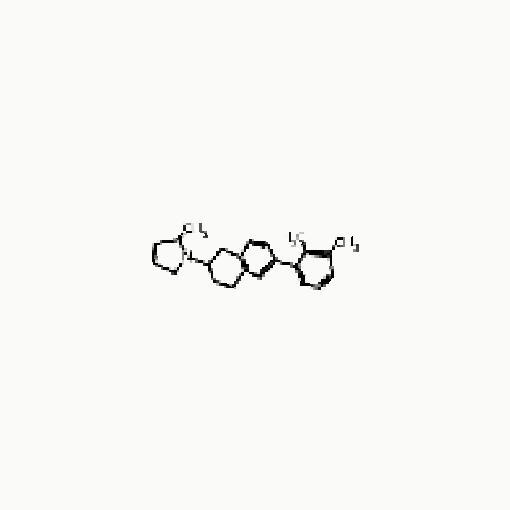 Cc1cccc(-c2ccc3c(c2)CCC(N2CCCC2C)C3)c1C